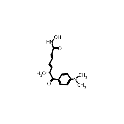 C[C@H](C=CC=CC(=O)NO)C(=O)c1ccc(N(C)C)cc1